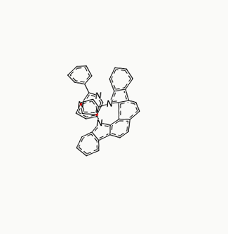 c1ccc(-c2ncc(-n3c4ccccc4c4ccc5ccc6c7ccccc7n(-c7ccccc7)c6c5c43)cn2)cc1